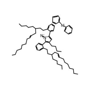 CCCCCCCC=CCC(CCCCC)CCc1ccccc1C1=CC(CCCC)=C(c2ccccc2CCC(CC=CCCCCCCC)CCCCC)[N+]1=[N-].c1cc[c]([Ni][c]2ccccc2)cc1